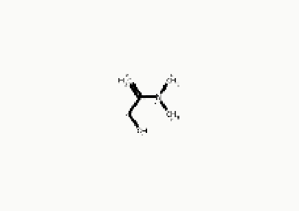 C=C(CO)N(C)C